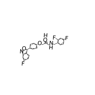 O[C@H](CNCc1ccc(F)cc1F)COc1ccc(-c2onc3cc(F)ccc23)cc1